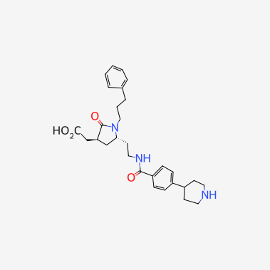 O=C(O)C[C@@H]1C[C@@H](CCNC(=O)c2ccc(C3CCNCC3)cc2)N(CCCc2ccccc2)C1=O